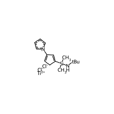 CC(C)(C)N[Si](C)(C)C1=CC(n2cccc2)=CC1.[Cl-].[Cl-].[Ti+2]